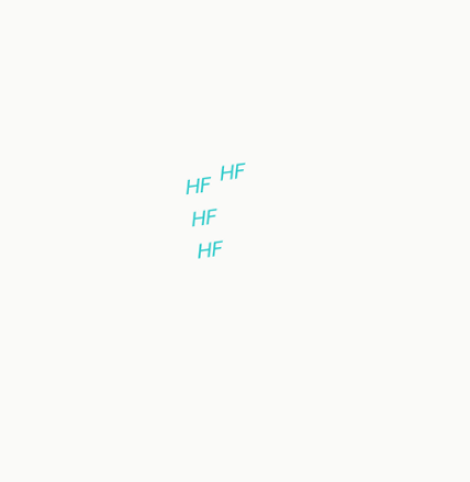 F.F.F.F